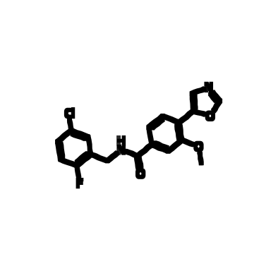 COc1cc(C(=O)NCc2cc(Cl)ccc2F)ccc1-c1cnco1